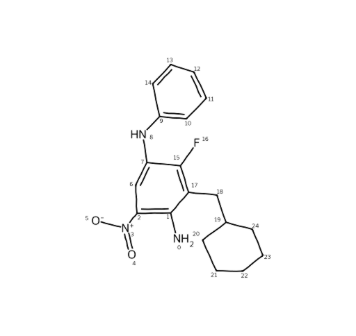 Nc1c([N+](=O)[O-])cc(Nc2ccccc2)c(F)c1CC1CCCCC1